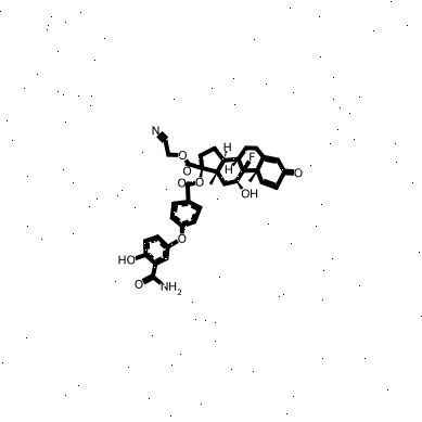 C[C@]12C=CC(=O)C=C1CC[C@H]1[C@@H]3CC[C@@](OC(=O)c4ccc(Oc5ccc(O)c(C(N)=O)c5)cc4)(C(=O)OCC#N)[C@@]3(C)C[C@H](O)C12F